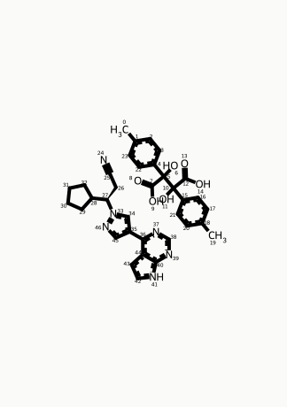 Cc1ccc(C(O)(C(=O)O)C(O)(C(=O)O)c2ccc(C)cc2)cc1.N#CC[C@H](C1CCCC1)n1cc(-c2ncnc3[nH]ccc23)cn1